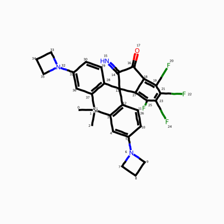 C[Si]1(C)c2cc(N3CCC3)ccc2C2(C(=N)C(=O)c3c(F)c(F)c(F)c(F)c32)c2ccc(N3CCC3)cc21